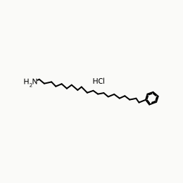 Cl.NCCCCCCCCCCCCCCCCCCCCc1ccccc1